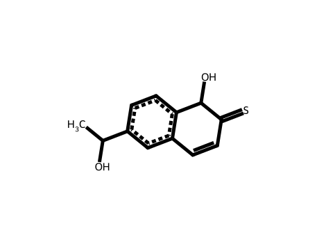 CC(O)c1ccc2c(c1)C=CC(=S)C2O